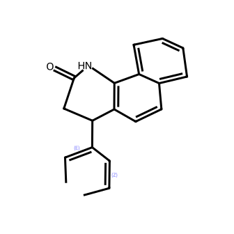 C/C=C\C(=C/C)C1CC(=O)Nc2c1ccc1ccccc21